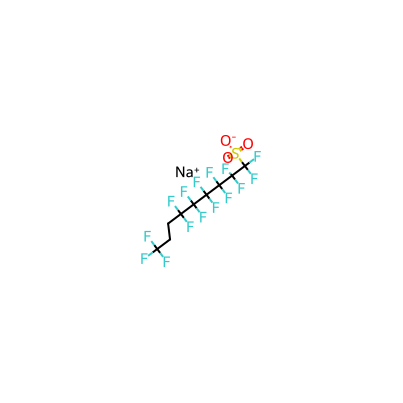 O=S(=O)([O-])C(F)(F)C(F)(F)C(F)(F)C(F)(F)C(F)(F)C(F)(F)CCC(F)(F)F.[Na+]